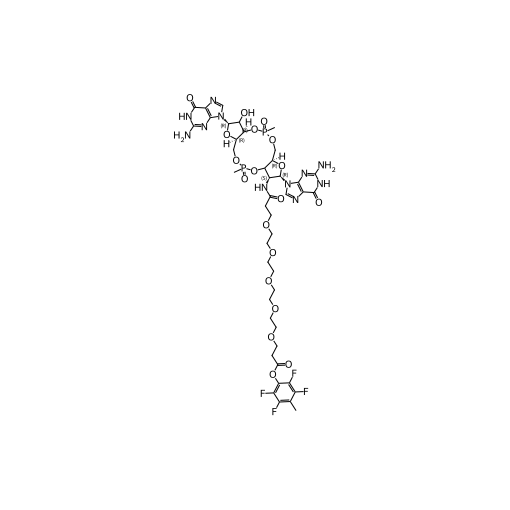 Cc1c(F)c(F)c(OC(=O)CCOCCOCCOCCOCCOCCC(=O)N[C@H]2C3OP(C)(=O)OC[C@H]4O[C@@H](n5cnc6c(=O)[nH]c(N)nc65)C(O)[C@H]4OP(C)(=O)OC[C@H]3O[C@H]2n2cnc3c(=O)[nH]c(N)nc32)c(F)c1F